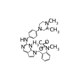 C[C@@H]1CN(c2ccc(Nc3ncc4ccn(Cc5ccccc5N(C)S(C)(=O)=O)c4n3)cc2)CCN1C